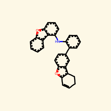 C1=Cc2oc3ccc(-c4ccccc4Nc4cccc5oc6ccccc6c45)cc3c2CC1